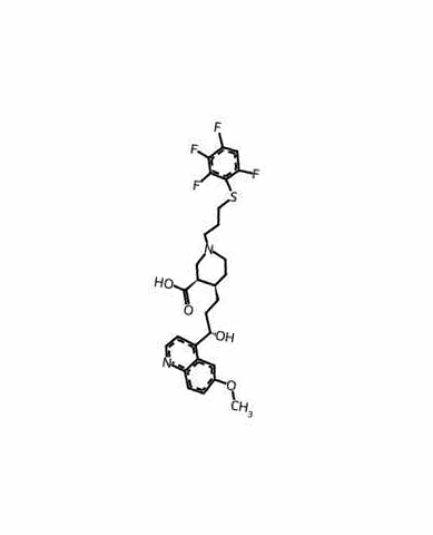 COc1ccc2nccc([C@@H](O)CC[C@@H]3CCN(CCCSc4c(F)cc(F)c(F)c4F)C[C@@H]3C(=O)O)c2c1